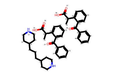 C(CC1CCNCC1)CC1CCNCC1.CC(C(=O)O)c1ccccc1C(=O)c1ccccc1.CC(C(=O)O)c1ccccc1C(=O)c1ccccc1